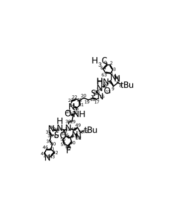 Cc1ccc(-n2nc(C(C)(C)C)cc2NC(=O)Nc2ncc(CCc3ccnc(NC(=O)CCN(C(=O)Nc4ncc(CCc5ccncc5)s4)c4cc(C(C)(C)C)nn4-c4cccc(F)c4)c3)s2)cc1